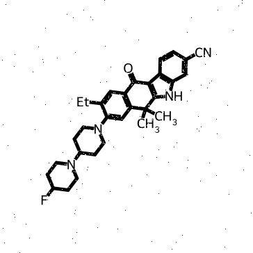 CCc1cc2c(cc1N1CCC(N3CCC(F)CC3)CC1)C(C)(C)c1[nH]c3cc(C#N)ccc3c1C2=O